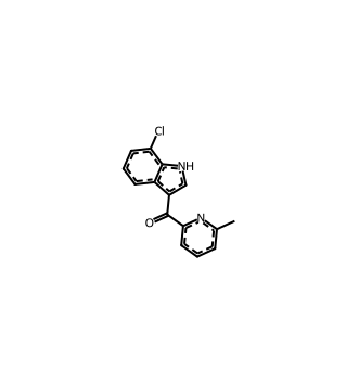 Cc1cccc(C(=O)c2c[nH]c3c(Cl)cccc23)n1